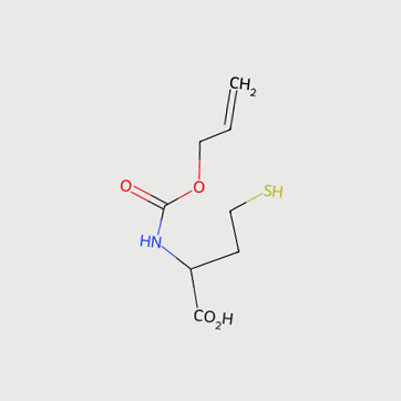 C=CCOC(=O)NC(CCS)C(=O)O